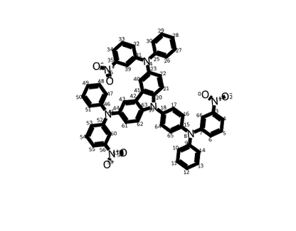 O=[N+]([O-])c1cccc(N(c2ccccc2)c2ccc(-n3c4ccc(N(c5ccccc5)c5cccc([N+](=O)[O-])c5)cc4c4cc(N(c5ccccc5)c5cccc([N+](=O)[O-])c5)ccc43)cc2)c1